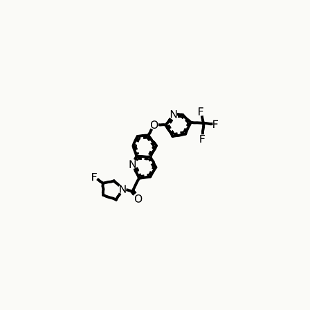 O=C(c1ccc2cc(Oc3ccc(C(F)(F)F)cn3)ccc2n1)N1CCC(F)C1